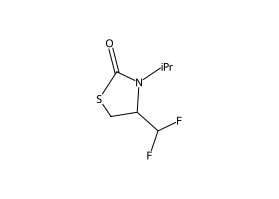 CC(C)N1C(=O)SCC1C(F)F